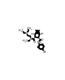 CCN(CC)CCN(CC)C(=O)[C@H]1[C@H](C(=O)Nc2ccc(Br)cc2)[C@@H]2C=C[C@H]1C21CC1